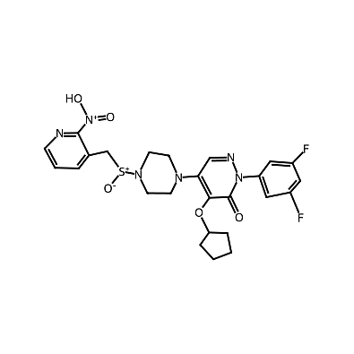 O=c1c(OC2CCCC2)c(N2CCN([S+]([O-])Cc3cccnc3[N+](=O)O)CC2)cnn1-c1cc(F)cc(F)c1